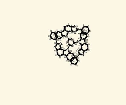 c1ccc(-c2nc3ccc4c5ccccc5n(-c5nc(-n6c7ccccc7c7ccc8nc(-c9ccccc9)oc8c76)nc(-n6c7ccccc7c7ccc8nc(-c9ccccc9)oc8c76)n5)c4c3o2)cc1